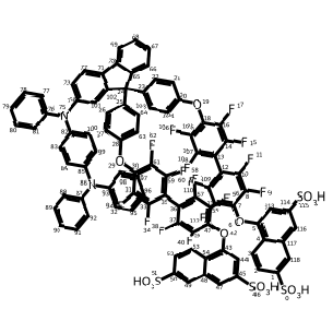 O=S(=O)(O)c1ccc2c(Oc3c(F)c(F)c(-c4c(F)c(F)c(Oc5ccc(C6(c7ccc(Oc8c(F)c(F)c(-c9c(F)c(F)c(Oc%10cc(S(=O)(=O)O)cc%11cc(S(=O)(=O)O)ccc%10%11)c(F)c9F)c(F)c8F)cc7)c7ccccc7-c7ccc(N(c8ccccc8)c8ccc(N(c9ccccc9)c9ccccc9)cc8)cc76)cc5)c(F)c4F)c(F)c3F)cc(S(=O)(=O)O)cc2c1